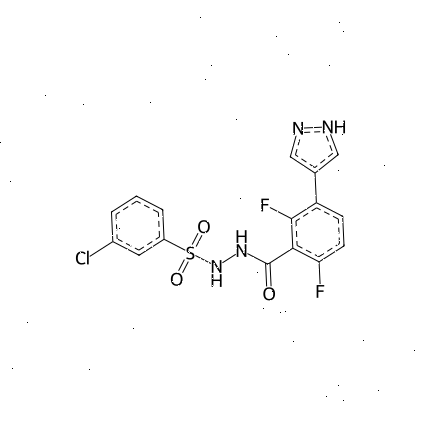 O=C(NNS(=O)(=O)c1cccc(Cl)c1)c1c(F)ccc(-c2cn[nH]c2)c1F